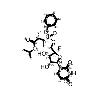 CC(C)OC(=O)[C@H](C)N[P@@](=O)(OC[C@@]1(F)O[C@@H](n2ccc(=O)[nH]c2=O)[C@H](O)[C@@H]1O)Oc1ccccc1